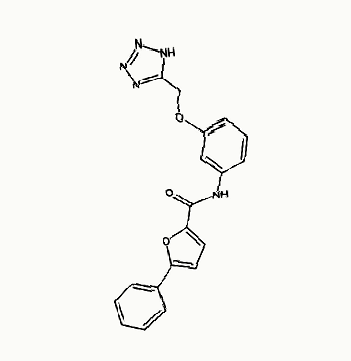 O=C(Nc1cccc(OCc2nnn[nH]2)c1)c1ccc(-c2ccccc2)o1